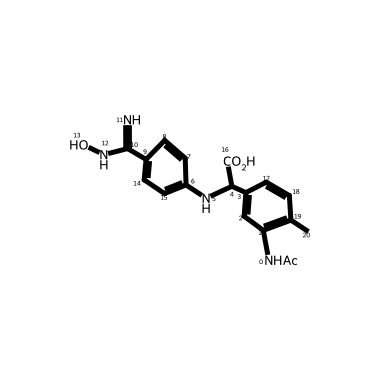 CC(=O)Nc1cc(C(Nc2ccc(C(=N)NO)cc2)C(=O)O)ccc1C